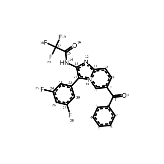 O=C(c1ccccc1)c1ccc2nc(NC(=O)C(F)(F)F)c(-c3cc(F)cc(F)c3)n2c1